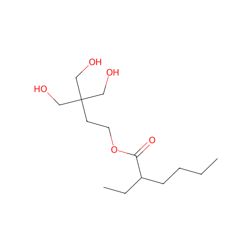 CCCCC(CC)C(=O)OCCC(CO)(CO)CO